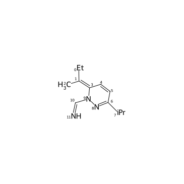 CC/C(C)=C1\C=CC(C(C)C)=NN1C=N